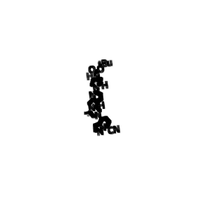 C[C@@H]1CN(c2ccc(C#N)n3nccc23)C[C@@H]2c3ccc(N4C[C@@H]5C[C@H]4CN5C(=O)OC(C)(C)C)nc3CN12